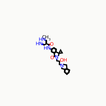 CN/C=C(\C=N)C(=O)Nc1ccc2c(c1)C(=O)N(CC(O)CN1CCc3ccccc3C1)CC21CC1